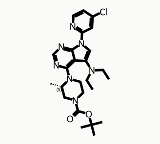 CCN(CC)c1cn(-c2cc(Cl)ccn2)c2ncnc(N3CCN(C(=O)OC(C)(C)C)C[C@@H]3C)c12